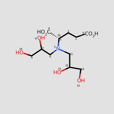 O=C(O)CC[C@@H](C(=O)O)N(CC(O)CO)CC(O)CO